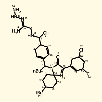 CCCCC(C1=CCC(C(O)NC/C(N)=N/NN)C=C1)N1C(=O)C(C2=CC(Cl)CC(Cl)C2)=NC12CCC(C(C)(C)C)CC2